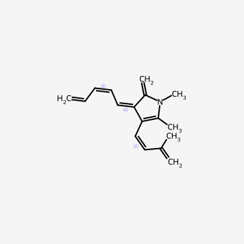 C=C/C=C\C=c1\c(/C=C\C(=C)C)c(C)n(C)c1=C